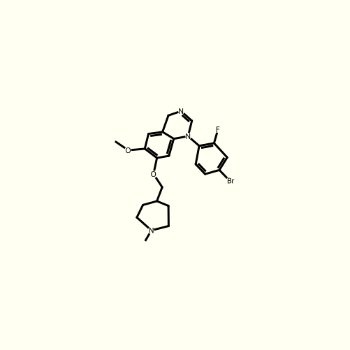 COc1cc2c(cc1OCC1CCN(C)CC1)N(c1ccc(Br)cc1F)C=NC2